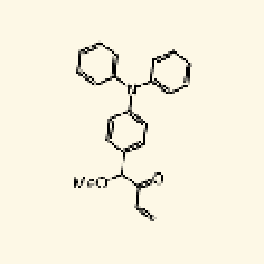 C=CC(=O)C(OC)c1ccc(N(c2ccccc2)c2ccccc2)cc1